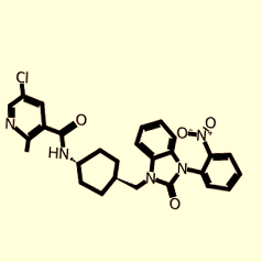 Cc1ncc(Cl)cc1C(=O)N[C@H]1CC[C@H](Cn2c(=O)n(-c3ccccc3[N+](=O)[O-])c3ccccc32)CC1